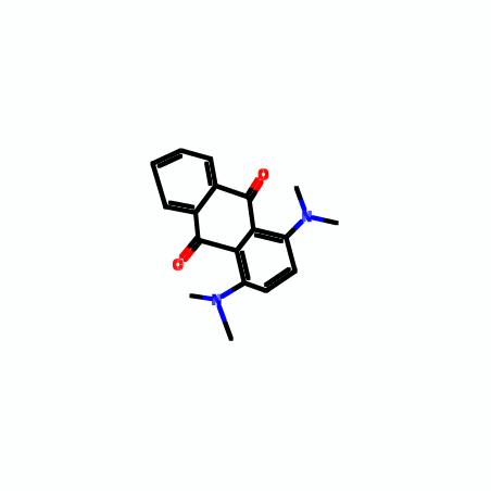 CN(C)c1ccc(N(C)C)c2c1C(=O)c1ccccc1C2=O